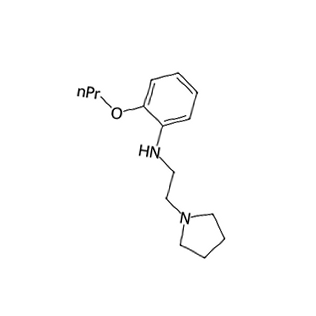 CCCOc1ccccc1NCCN1CCCC1